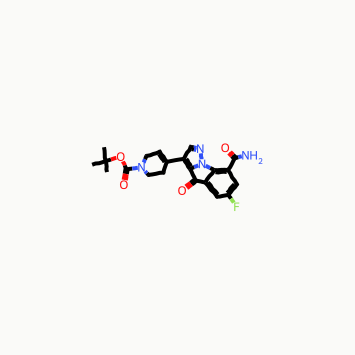 CC(C)(C)OC(=O)N1CC=C(c2cnn3c2C(=O)c2cc(F)cc(C(N)=O)c2-3)CC1